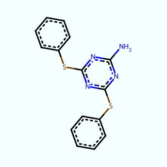 Nc1nc(Sc2ccccc2)nc(Sc2ccccc2)n1